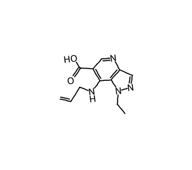 C=CCNc1c(C(=O)O)cnc2cnn(CC)c12